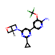 Nc1ncc(-c2cc(N3CC4OC[C@H]43)nc(C3CC3)n2)cc1OC(F)(F)F